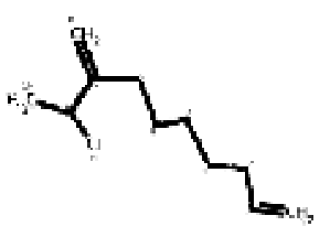 C=CCCCCCC(=C)C(C)Cl